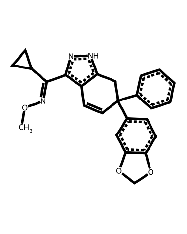 CON=C(c1n[nH]c2c1C=CC(c1ccccc1)(c1ccc3c(c1)OCO3)C2)C1CC1